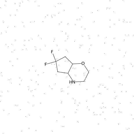 FC1(F)CC2NCCOC2C1